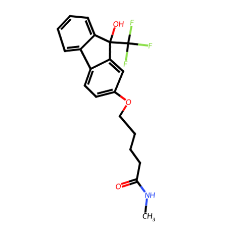 CNC(=O)CCCCOc1ccc2c(c1)C(O)(C(F)(F)F)c1ccccc1-2